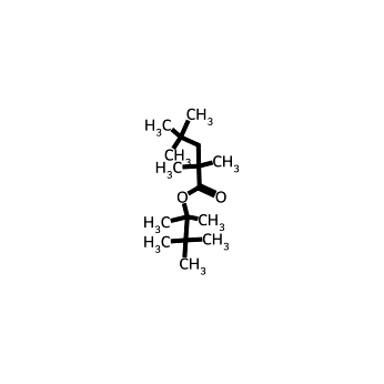 CC(C)(C)CC(C)(C)C(=O)OC(C)(C)C(C)(C)C